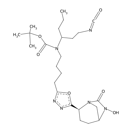 CCCC(CCN=C=O)N(CCCCc1nnc([C@@H]2CCC3CN2C(=O)N3O)o1)C(=O)OC(C)(C)C